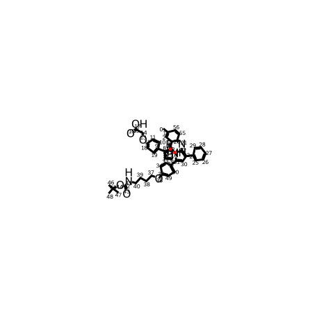 CC1=CC(c2[nH]ccc2-c2ccc(OCC(=O)O)cc2)/C(=N\c2c(-c3ccccc3)cc(-c3ccc(OCCCCNC(=O)OC(C)(C)C)cc3)n2B(F)F)C=C1